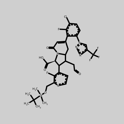 CC(C)(C)[Si](C)(C)OCc1nccc(C2C(CC=O)C3CC(c4c(-n5cc(C(F)(F)F)nn5)ccc(Cl)c4F)=CC(=O)N3[C@@H]2C(=O)O)c1F